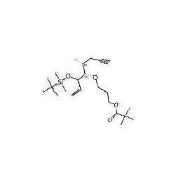 C#CC[C@@H](C)[C@H](OCCCOC(=O)C(C)(C)C)C(C=C)O[Si](C)(C)C(C)(C)C